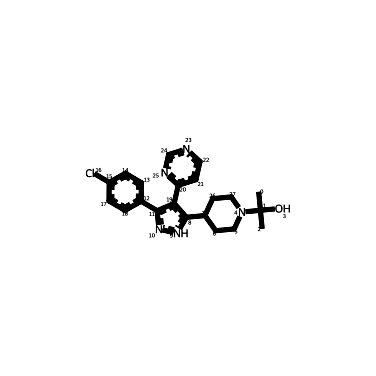 CC(C)(O)N1CCC(c2[nH]nc(-c3ccc(Cl)cc3)c2-c2ccncn2)CC1